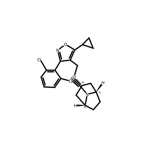 N#CN1[C@@H]2CC[C@H]1C[C@@H](OCc1c(-c3c(Cl)cccc3Cl)noc1C1CC1)C2